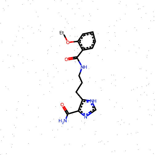 CCOc1ccccc1C(=O)NCCCc1[nH]cnc1C(N)=O